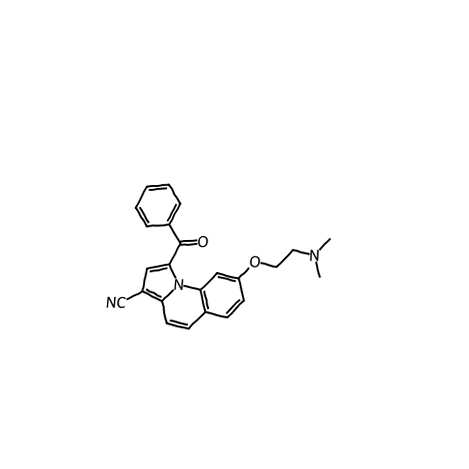 CN(C)CCOc1ccc2ccc3c(C#N)cc(C(=O)c4ccccc4)n3c2c1